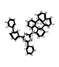 c1ccc(-c2cccc(-c3nc(-c4ccccc4)nc(-n4c5cccc6c5c5c(cccc54)-c4cccc5cccc-6c45)n3)c2)cc1